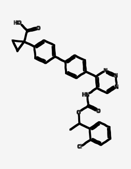 CC(OC(=O)Nc1cnnnc1-c1ccc(-c2ccc(C3(C(=O)O)CC3)cc2)cc1)c1ccccc1Cl